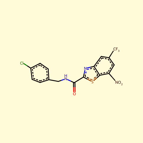 O=C(NCc1ccc(Cl)cc1)c1nc2cc(C(F)(F)F)cc([N+](=O)[O-])c2s1